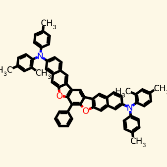 Cc1ccc(N(c2ccc3cc4c(cc3c2)oc2c(-c3ccccc3)c3oc5cc6cc(N(c7ccc(C)cc7)c7ccc(C)cc7C)ccc6cc5c3cc24)c2ccc(C)cc2C)cc1